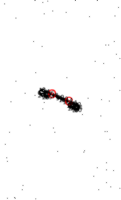 c1ccc2cc(OCCCCCCCOc3ccc4ccccc4c3)ccc2c1